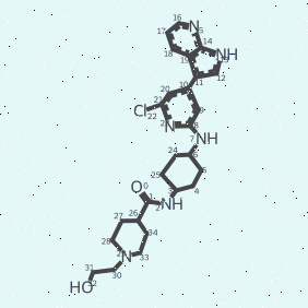 O=C(NC1CCC(Nc2cc(-c3c[nH]c4ncccc34)cc(Cl)n2)CC1)C1CCN(CCO)CC1